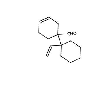 C=CC1(C2(C=O)CC=CCC2)CCCCC1